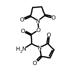 NC(C(=O)ON1C(=O)CCC1=O)N1C(=O)C=CC1=O